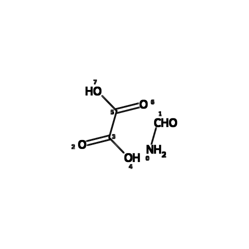 NC=O.O=C(O)C(=O)O